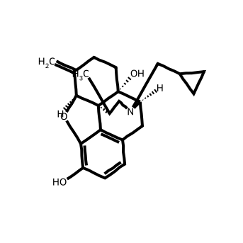 C=C1CC[C@@]2(O)[C@H]3Cc4ccc(O)c5c4[C@@]2(C(C)CN3CC2CC2)[C@H]1O5